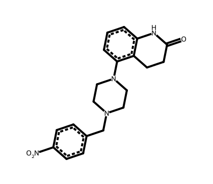 O=C1CCc2c(cccc2N2CCN(Cc3ccc([N+](=O)[O-])cc3)CC2)N1